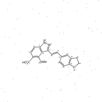 COc1c(C(=O)O)ccc2[nH]nc(C=Cc3ccc4c(c3)CCO4)c12